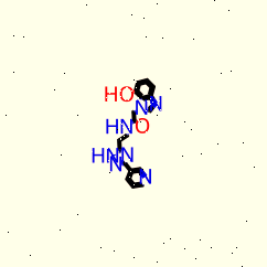 O=C(Cn1cnc2cccc(O)c21)NCCc1nc(-c2cccnc2)n[nH]1